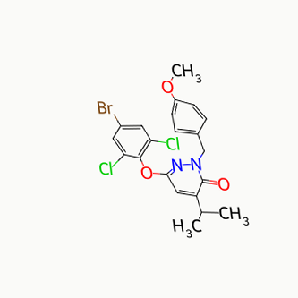 COc1ccc(Cn2nc(Oc3c(Cl)cc(Br)cc3Cl)cc(C(C)C)c2=O)cc1